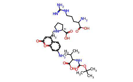 CC(C)C(NC(=O)OC(C)(C)C)C(=O)O.Cc1cc(=O)oc2cc(N)ccc12.N=C(N)NCCCC(N)C(=O)O.O=C(O)[C@@H]1CCCN1